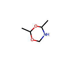 CC1NCOC(C)O1